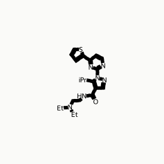 CCN(CC)CCNC(=O)c1cnn(-c2nccc(-c3cccs3)n2)c1C(C)C